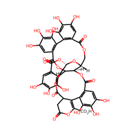 O=C1CC2C(=O)O[C@H]3[C@H](OC(=O)c4cc(O)c(O)c(O)c4)O[C@@H]4COC(=O)c5cc(O)c(O)c(O)c5-c5c(cc(O)c(O)c5O)C(=O)O[C@H]3[C@@H]4OC(=O)c3cc(O)c(O)c(O)c3C2=C(C(=O)O)O1